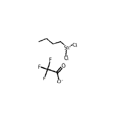 CCC[CH2][Sn+]([Cl])[Cl].O=C([O-])C(F)(F)F